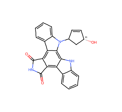 O=C1NC(=O)c2c1c1c3ccccc3[nH]c1c1c2c2ccccc2n1C1C=C[C@H](O)C1